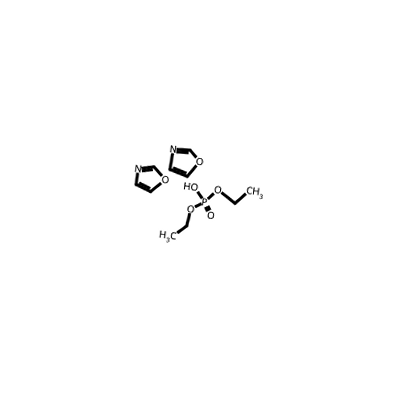 CCOP(=O)(O)OCC.c1cocn1.c1cocn1